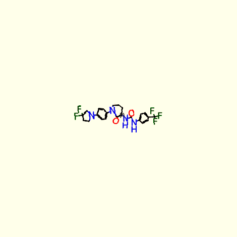 O=C(Nc1ccc(C(F)(F)F)cc1)N[C@@H]1CCCN(c2ccc(N3CCC(F)(F)C3)cc2)C1=O